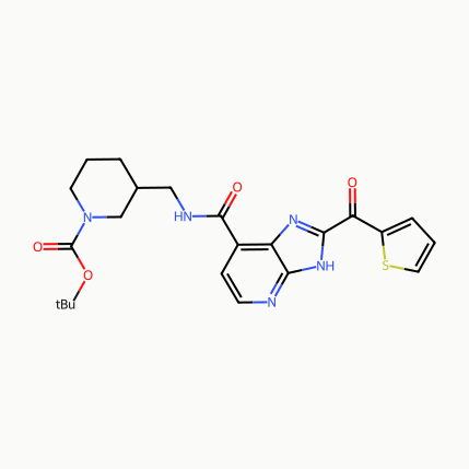 CC(C)(C)OC(=O)N1CCCC(CNC(=O)c2ccnc3[nH]c(C(=O)c4cccs4)nc23)C1